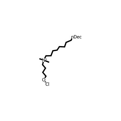 CCCCCCCCCCCCCCCCCC[N+](C)(C)CCCCOCl